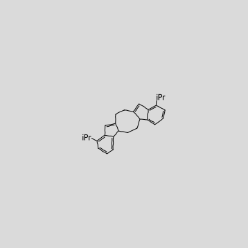 CC(C)c1cccc2c1C=C1CCC3=Cc4c(C(C)C)cccc4C3CCC12